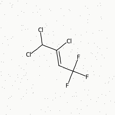 FC(F)(F)C=C(Cl)C(Cl)Cl